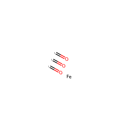 [C]=O.[C]=O.[C]=O.[Fe]